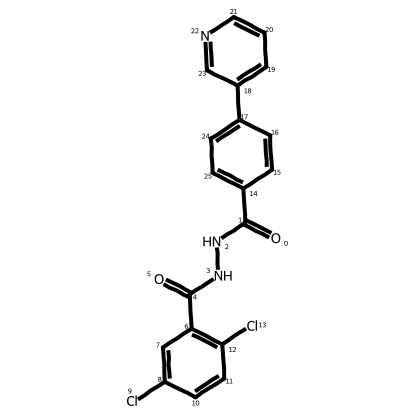 O=C(NNC(=O)c1cc(Cl)ccc1Cl)c1ccc(-c2cccnc2)cc1